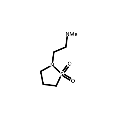 CNCCN1CCCS1(=O)=O